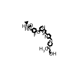 CN(CCO)C1CCN(Cc2ccc(-c3cc4nccc(Oc5ccc(NC(=O)NC6CC6)cc5F)c4s3)nc2)CC1